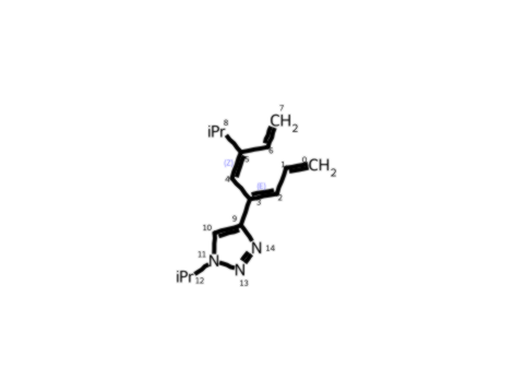 C=C/C=C(\C=C(/C=C)C(C)C)c1cn(C(C)C)nn1